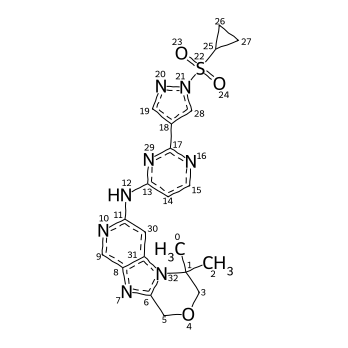 CC1(C)COCc2nc3cnc(Nc4ccnc(-c5cnn(S(=O)(=O)C6CC6)c5)n4)cc3n21